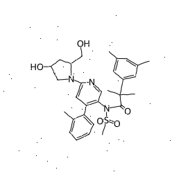 Cc1cc(C)cc(C(C)(C)C(=O)N(c2cnc(N3CC(O)CC3CO)cc2-c2ccccc2C)S(C)(=O)=O)c1